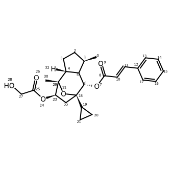 C[C@@H]1CC[C@@H]2C1[C@H](OC(=O)/C=C/c1ccccc1)[C@]1(C3CC3)C[C@@H](OC(=O)CO)[C@@]2(C)O1